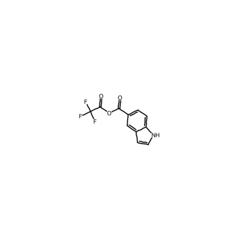 O=C(OC(=O)C(F)(F)F)c1ccc2[nH]ccc2c1